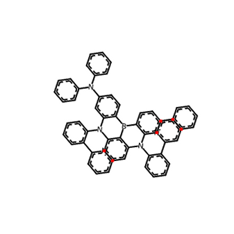 c1ccc(-c2ccc3c(c2)N(c2ccccc2-c2ccccn2)c2cccc4c2B3c2ccc(N(c3ccccc3)c3ccccc3)cc2N4c2ccccc2-c2ccccn2)cc1